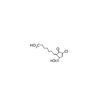 CCCCCCCCC1C=C(Cl)C(=O)/C1=C\CCCCCC(=O)O